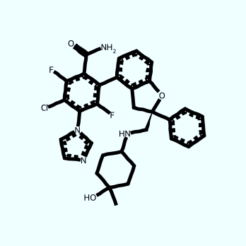 CC1(O)CCC(NC[C@@]2(c3ccccc3)Cc3c(cccc3-c3c(F)c(-n4ccnc4)c(Cl)c(F)c3C(N)=O)O2)CC1